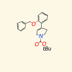 CC(C)(C)OC(=O)N1CC=C(c2ccccc2OCc2ccccc2)CC1